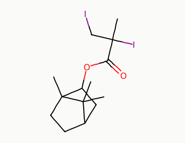 CC(I)(CI)C(=O)OC1CC2CCC1(C)C2(C)C